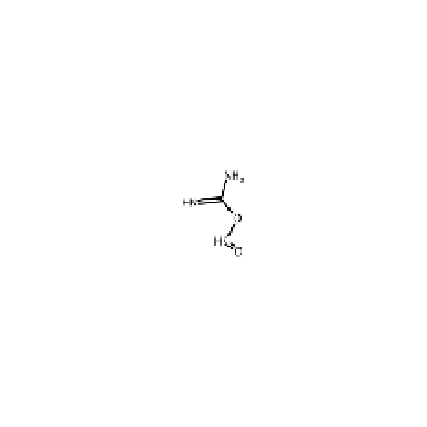 N=C(N)O[SH]=O